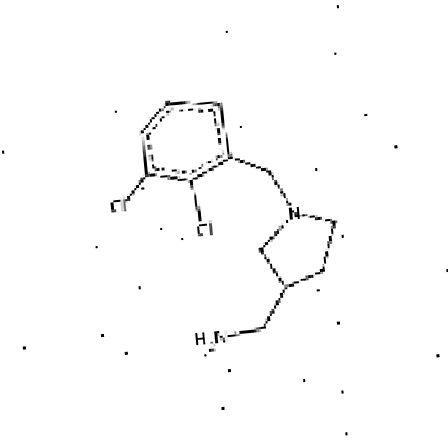 NCC1CCN(Cc2cccc(Cl)c2Cl)C1